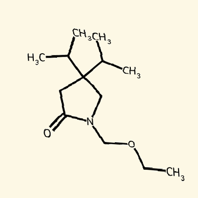 CCOCN1CC(C(C)C)(C(C)C)CC1=O